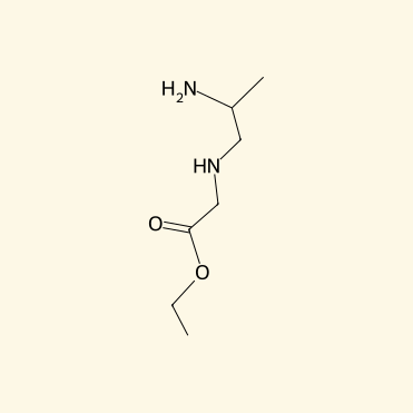 CCOC(=O)CNCC(C)N